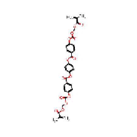 C=C(C)C(=O)OCOC(=O)Oc1ccc(C(=O)Oc2ccc(OC(=O)c3ccc(OC(=O)OCOC(=O)C(=C)C)cc3)cc2)cc1